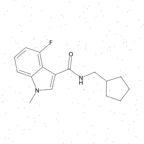 Cn1cc(C(=O)NCC2CCCC2)c2c(F)cccc21